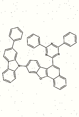 c1ccc(-c2ccc3c4ccccc4n(-c4ccc5c(c4)oc4c6ccccc6cc(-c6nc(-c7ccccc7)nc(-c7ccccc7)n6)c54)c3c2)cc1